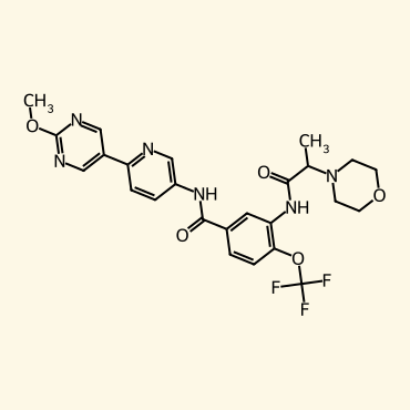 COc1ncc(-c2ccc(NC(=O)c3ccc(OC(F)(F)F)c(NC(=O)C(C)N4CCOCC4)c3)cn2)cn1